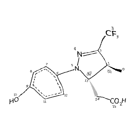 C[C@@H]1C(C(F)(F)F)=NN(c2ccc(O)cc2)[C@H]1CC(=O)O